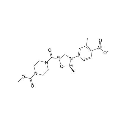 COC(=O)N1CCN(C(=O)[C@@H]2CN(c3ccc([N+](=O)[O-])c(C)c3)[C@@H](C)O2)CC1